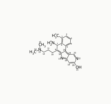 Cc1cccc2c1C(N)C(CCCN(C)C)=C1N=c3cc(O)ncc3=C12